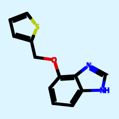 [c]1nc2c(OCc3cccs3)cccc2[nH]1